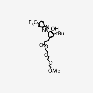 COCCOCCOCCOC(=O)CCc1cc(-n2nc3ccc(C(F)(F)F)cc3n2)c(O)c(C(C)(C)C)c1